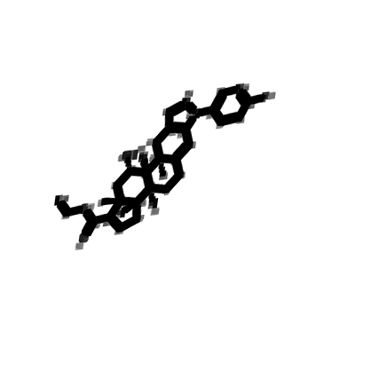 C[C@@]12C[C@H](O)[C@H]3[C@@H](CCC4=Cc5c(cnn5-c5ccc(F)nc5)C[C@@]43C)[C@@H]1CC[C]2C(=O)SCF